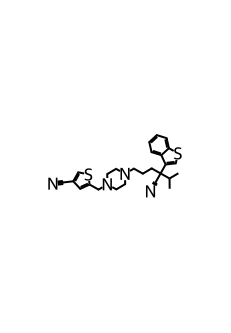 CC(C)C(C#N)(CCCN1CCN(Cc2cc(C#N)cs2)CC1)c1csc2ccccc12